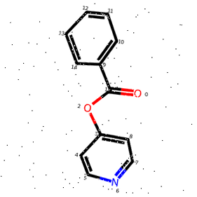 O=C(Oc1c[c]ncc1)c1ccccc1